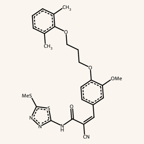 COc1cc(C=C(C#N)C(=O)Nc2nnc(SC)s2)ccc1OCCCOc1c(C)cccc1C